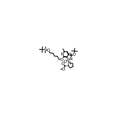 COC(=O)[C@@H]1CCCN1[S@](=O)(=NC(=O)OC(C)(C)C)c1ccc(C)nc1O[C@H](C)CCCCO[Si](C)(C)C(C)(C)C